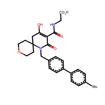 CC(C)(C)c1ccc(-c2ccc(CN3C(=O)C(C(=O)NCC(=O)O)=C(O)CC34CCOCC4)cc2)cc1